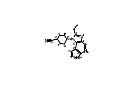 CCc1nc2cnc3[nH]ccc3c2n1C1CCC(C#N)CC1